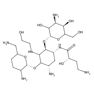 NCC[C@H](O)C(=O)N[C@@H]1C[C@H](N)C(O[C@H]2OC(CN)CCC2N)C(NCCO)[C@H]1O[C@H]1OC(CO)[C@H](O)[C@H](N)C1O